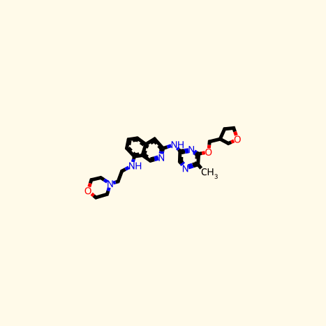 Cc1ncc(Nc2cc3cccc(NCCN4CCOCC4)c3cn2)nc1OCC1CCOC1